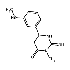 CBc1cccc(C2CC(=O)N(C)C(=N)N2)c1